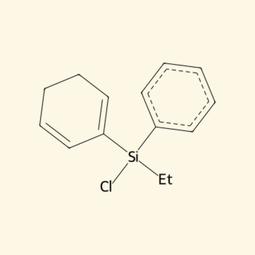 CC[Si](Cl)(C1=CCCC=C1)c1ccccc1